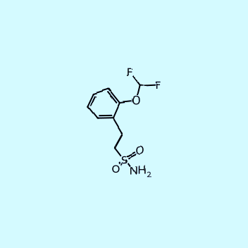 NS(=O)(=O)CCc1ccccc1OC(F)F